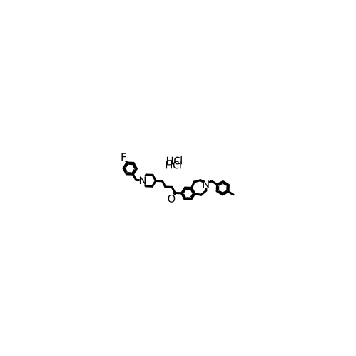 Cc1ccc(CN2CCc3ccc(C(=O)CCCC4CCN(Cc5ccc(F)cc5)CC4)cc3CC2)cc1.Cl.Cl